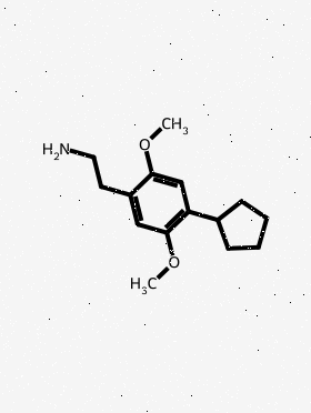 COc1cc(C2CCCC2)c(OC)cc1CCN